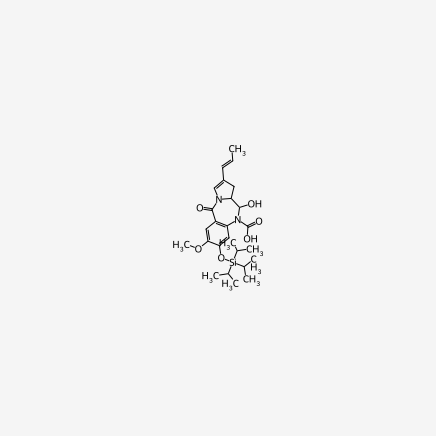 CC=CC1=CN2C(=O)c3cc(OC)c(O[Si](C(C)C)(C(C)C)C(C)C)cc3N(C(=O)O)C(O)C2C1